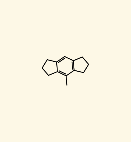 Cc1c2c(cc3c1CCC3)CCC2